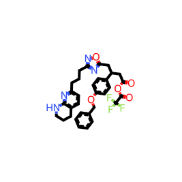 O=C(CC(Cc1nc(CCCc2ccc3c(n2)NCCC3)no1)c1ccc(OCc2ccccc2)cc1)OC(=O)C(F)(F)F